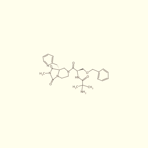 CN1C(=O)N2CCN(C(=O)[C@@H](COCc3ccccc3)NC(=O)C(C)(C)N)C[C@]2(Cc2ccccn2)C1=O